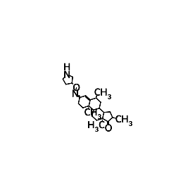 CC1CC2C3CC(C)C4=CC(=NOC5CCNC5)CC[C@]4(C)C3CC[C@]2(C)C1=O